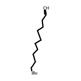 [CH]=CCCCCCCCCCC(C)CC